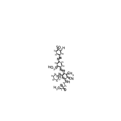 C=CS(=O)(=O)CCNc1nc(NC2CCCCC2)c(/N=N/c2ccc(/N=N/c3ccc(S(=O)(=O)O)cc3)cc2S(=O)(=O)O)c(C)c1C#N